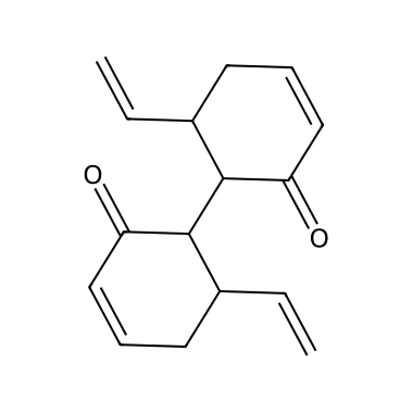 C=CC1CC=CC(=O)C1C1C(=O)C=CCC1C=C